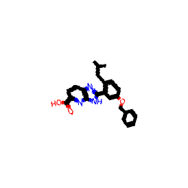 CC(C)Cc1ccc(OCc2ccccc2)cc1-c1nc2ccc(C(=O)O)nc2[nH]1